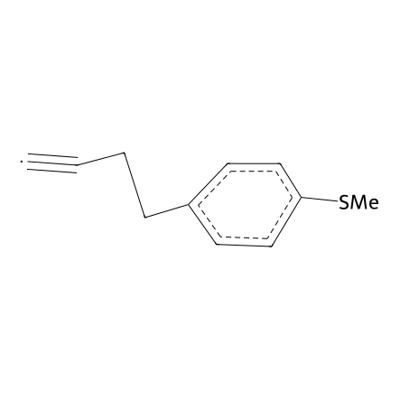 [C]#CCCc1ccc(SC)cc1